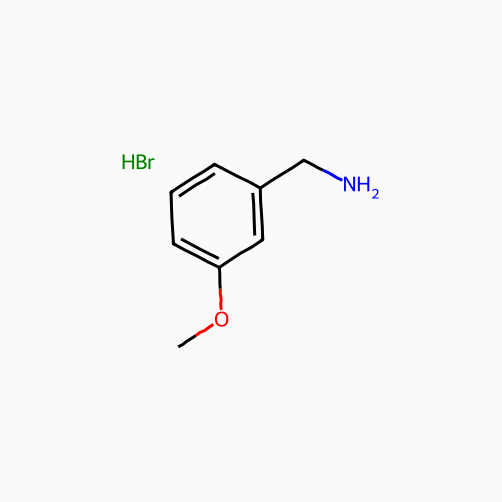 Br.COc1cccc(CN)c1